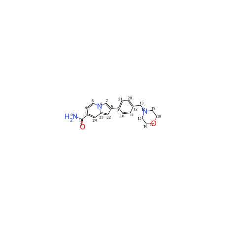 NC(=O)c1ccn2cc(-c3ccc(CN4CCOCC4)cc3)cc2c1